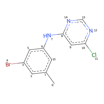 Cc1cc(Br)cc(Nc2cc(Cl)ncn2)c1